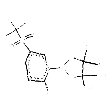 Cc1ccc(S(=O)(=O)C(F)(F)F)cc1B1OC(C)(C)C(C)(C)O1